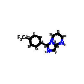 FC(F)(F)c1ccc(-c2ncc3ncccn23)cc1